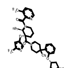 CCC[C@H]1N(C(=O)c2ncccc2C(F)(F)F)CCC[C@@]1(Oc1csc(C(F)(F)F)c1)C(=O)N1CCC(C#N)(c2ccccc2O[C@H]2CC[C@@H](C(C)=O)C2)CC1